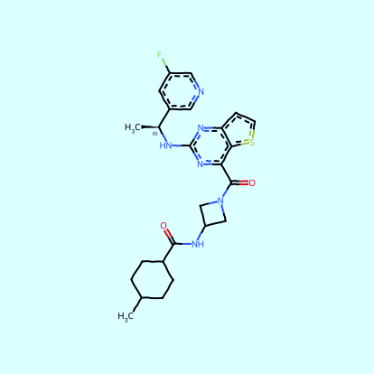 CC1CCC(C(=O)NC2CN(C(=O)c3nc(N[C@@H](C)c4cncc(F)c4)nc4ccsc34)C2)CC1